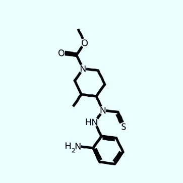 COC(=O)N1CCC(N(C=S)Nc2ccccc2N)C(C)C1